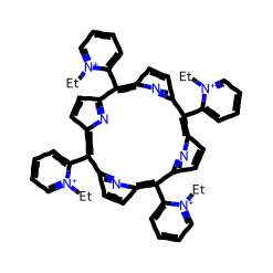 CC[n+]1ccccc1C1=C2C=CC(=N2)C(c2cccc[n+]2CC)=C2C=CC(=N2)C(c2cccc[n+]2CC)=C2C=CC(=N2)C(c2cccc[n+]2CC)=C2C=CC1=N2